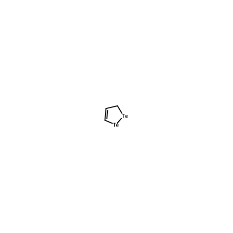 C1=C[Te][Te]C1